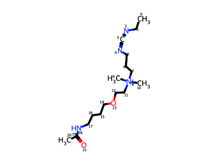 CCN=C=NCCC[N+](C)(C)CCOCCCCNC(C)=O